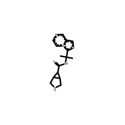 CC(C)(NC(=O)C1C2CNCC21)c1ncc2cnccn12